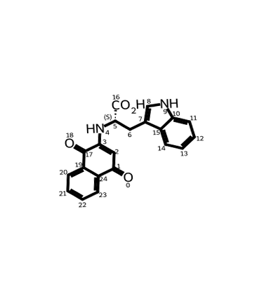 O=C1C=C(N[C@@H](Cc2c[nH]c3ccccc23)C(=O)O)C(=O)c2ccccc21